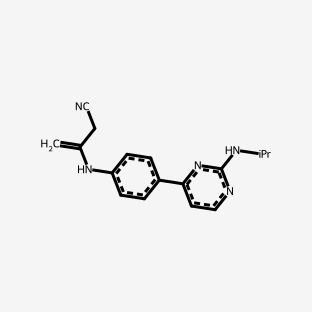 C=C(CC#N)Nc1ccc(-c2ccnc(NC(C)C)n2)cc1